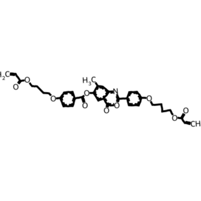 C=CC(=O)OCCCCOc1ccc(C(=O)Oc2cc3c(=O)oc(-c4ccc(OCCCCOC(=O)C=C)cc4)nc3cc2C)cc1